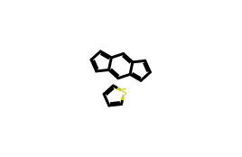 C1=Cc2cc3c(cc2=C1)C=CC=3.c1ccsc1